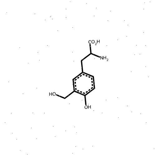 NC(Cc1ccc(O)c(CO)c1)C(=O)O